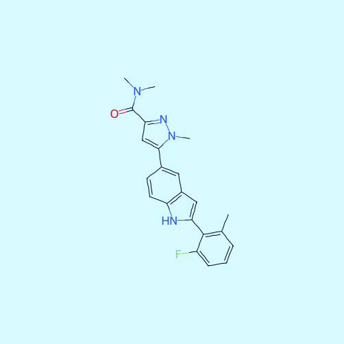 Cc1cccc(F)c1-c1cc2cc(-c3cc(C(=O)N(C)C)nn3C)ccc2[nH]1